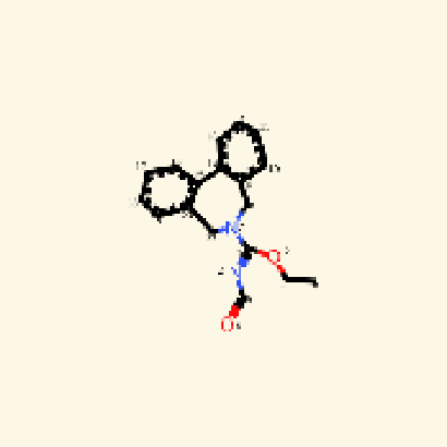 CCOC(=NC=O)N1Cc2ccccc2-c2ccccc2C1